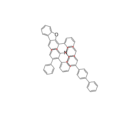 c1ccc(-c2ccc(-c3ccc(N(c4ccccc4-c4cccc5c4oc4ccccc45)c4cccc(-c5ccccc5)c4-c4ccccc4-c4ccccc4)cc3)cc2)cc1